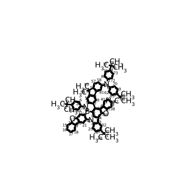 CC(C)(C)c1ccc(N2B3c4cc5oc6ccccc6c5cc4-n4c5ccc(C(C)(C)C)cc5c5c6oc7ccccc7c6c(c3c54)-c3cc4c(cc32)C(C)(C)c2ccc(N(c3ccc(C(C)(C)C)cc3)c3ccc(C(C)(C)C)cc3)cc2-4)cc1